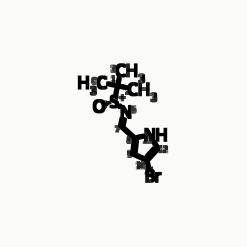 CC(C)(C)[S@@+]([O-])/N=C/c1cc(Br)c[nH]1